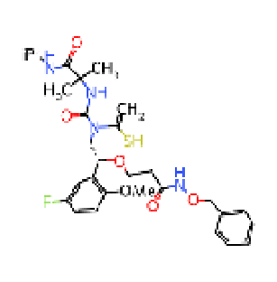 C=C(S)N(C[C@H](OCCC(=O)NOCc1ccccc1)c1cc(F)ccc1OC)C(=O)NC(C)(C)C(=O)NC(C)C